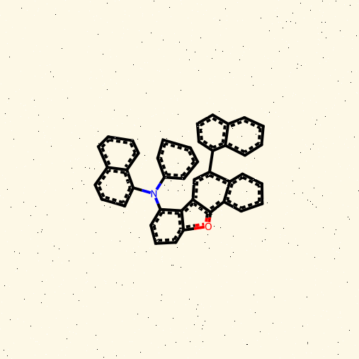 c1ccc(N(c2cccc3ccccc23)c2cccc3oc4c5ccccc5c(-c5cccc6ccccc56)cc4c23)cc1